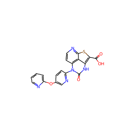 O=C(O)c1sc2nccc3c2c1NC(=O)N3c1ccc(Oc2ccccn2)cn1